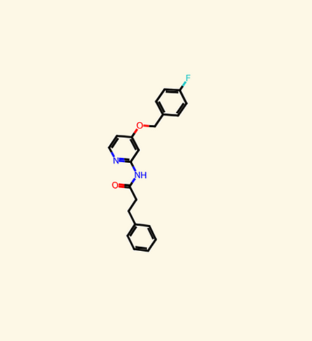 O=C(CCc1ccccc1)Nc1cc(OCc2ccc(F)cc2)ccn1